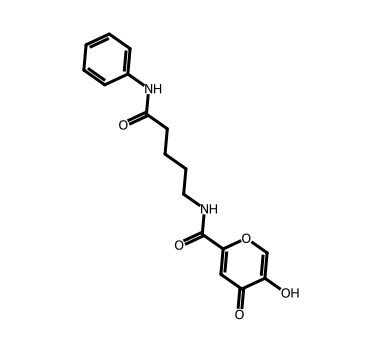 O=C(CCCCNC(=O)c1cc(=O)c(O)co1)Nc1ccccc1